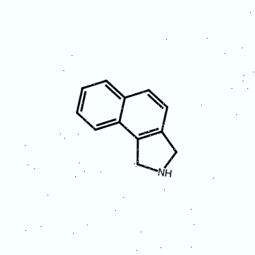 [CH]1NCc2ccc3ccccc3c21